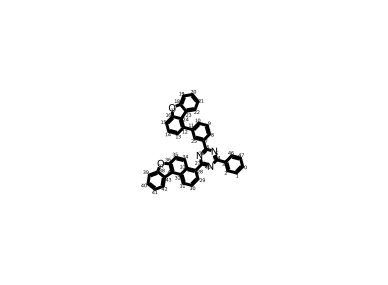 c1ccc(-c2nc(-c3cccc(-c4cccc5oc6ccccc6c45)c3)nc(-c3cccc4c3ccc3oc5ccccc5c34)n2)cc1